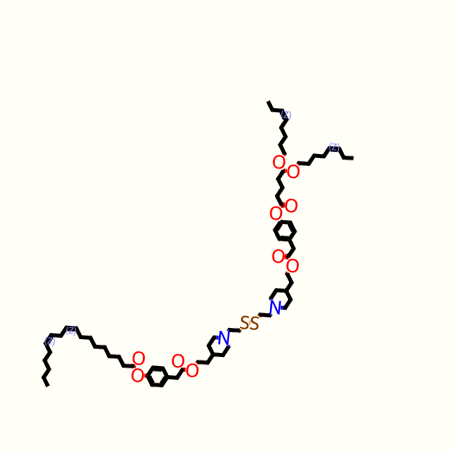 CC/C=C\CCCCOC(CCCC(=O)Oc1ccc(CC(=O)OCCC2CCN(CCSSCCN3CCC(CCOC(=O)Cc4ccc(OC(=O)CCCCCCC/C=C\C/C=C\CCCCC)cc4)CC3)CC2)cc1)OCCCC/C=C\CC